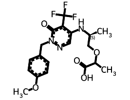 COc1ccc(Cn2ncc(N[C@@H](C)COC(C)C(=O)O)c(C(F)(F)F)c2=O)cc1